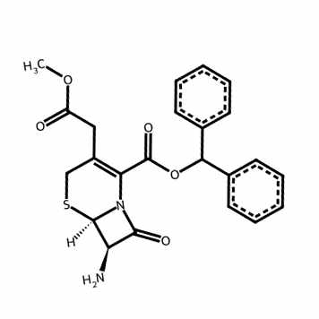 COC(=O)CC1=C(C(=O)OC(c2ccccc2)c2ccccc2)N2C(=O)[C@@H](N)[C@H]2SC1